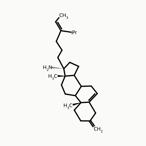 C=C1CC[C@@]2(C)C(=CCC3C2CC[C@@]2(C)C3CC[C@]2(N)CCC/C(=C/C)C(C)C)C1